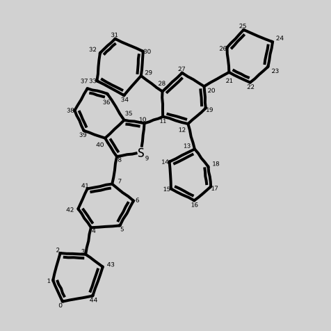 c1ccc(-c2ccc(-c3sc(-c4c(-c5ccccc5)cc(-c5ccccc5)cc4-c4ccccc4)c4ccccc34)cc2)cc1